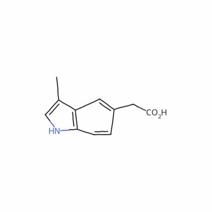 Cc1c[nH]c2ccc(CC(=O)O)cc12